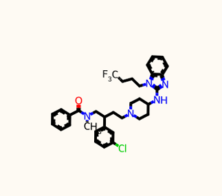 CN(CC(CCN1CCC(Nc2nc3ccccc3n2CCCC(F)(F)F)CC1)c1cccc(Cl)c1)C(=O)c1ccccc1